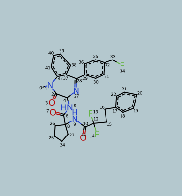 CN1C(=O)C(NC(=O)C2(NC(=O)C(F)(F)CCc3ccccc3)CCCC2)N=C(c2ccc(CF)cc2)c2ccccc21